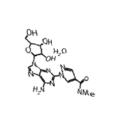 CNC(=O)c1cnn(-c2nc(N)c3ncn(C4OC(CO)C(O)C4O)c3n2)c1.O